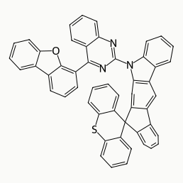 c1ccc2c(c1)Sc1ccccc1C21c2ccccc2-c2cc3c4ccccc4n(-c4nc(-c5cccc6c5oc5ccccc56)c5ccccc5n4)c3cc21